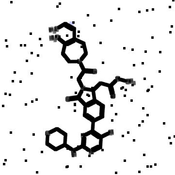 C/C=C\C1=C(C)CCN(C(=O)CN2C(=O)c3cc(-c4nc(NC5CCOCC5)ncc4Cl)ccc3C2CC(=O)OC)CC1